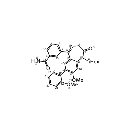 CCCCCCN1C(=O)CN=C(c2cccc(C(N)=O)c2)c2cc(-c3ccccc3OC)c(OC)cc21